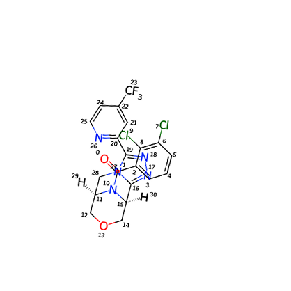 O=C(c1cccc(Cl)c1Cl)N1[C@H]2COC[C@@H]1c1nnc(-c3cc(C(F)(F)F)ccn3)n1C2